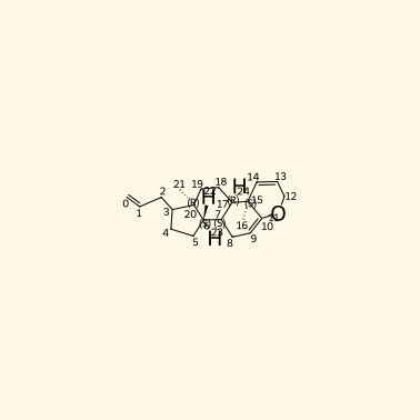 C=CCC1CC[C@H]2[C@@H]3CC=C4OCC=C[C@]4(C)[C@@H]3CC[C@]12C